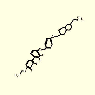 CCCC1CCC2CC(COc3ccc(COc4ccc(-c5ccc(OCC)c(F)c5F)c(F)c4F)cc3)CCC2C1